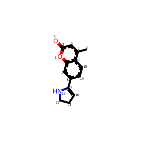 Cc1cc(=O)oc2cc(C3=CCCN3)ccc12